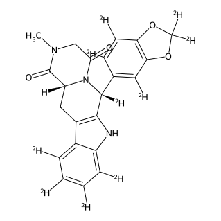 [2H]c1c([2H])c([C@]2([2H])c3[nH]c4c([2H])c([2H])c([2H])c([2H])c4c3C[C@@H]3C(=O)N(C)CC(=O)N32)c([2H])c2c1OC([2H])([2H])O2